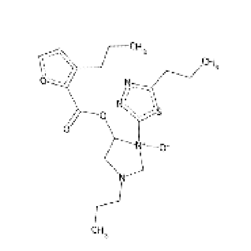 CCCc1nnc([N+]2([O-])CN(CCC)CC2OC(=O)c2occc2CCC)s1